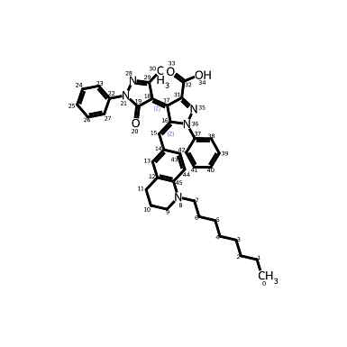 CCCCCCCCN1CCCc2cc(/C=c3/c(=C4\C(=O)N(c5ccccc5)N=C4C)c(C(=O)O)nn3-c3ccccc3)ccc21